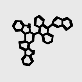 C1=C(c2c3c(c(-c4ccc5ccccc5c4)c4ccccc24)=CCCC=3)C2Sc3ccccc3C2c2ccc3c(sc4ccccc43)c21